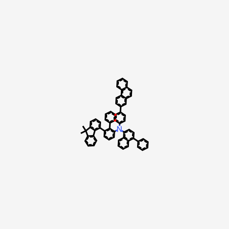 CC1(C)c2ccccc2-c2c(-c3cccc(N(c4ccc(-c5ccc6c(ccc7ccccc76)c5)cc4)c4ccc(-c5ccccc5)c5ccccc45)c3-c3ccccc3)cccc21